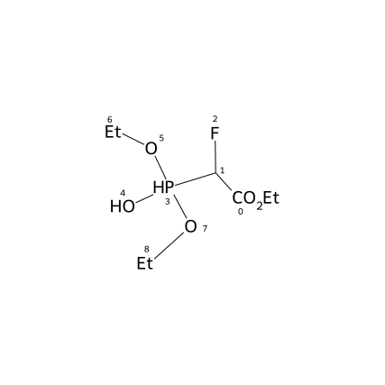 CCOC(=O)C(F)[PH](O)(OCC)OCC